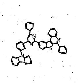 c1ccc(-c2cc(-c3cccc(-n4c5ccccc5c5ccccc54)c3)nc(-c3ccc4sc5c(-c6ccccc6)nc6ccccc6c5c4c3)n2)cc1